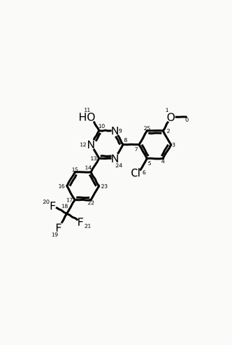 COc1ccc(Cl)c(-c2nc(O)nc(-c3ccc(C(F)(F)F)cc3)n2)c1